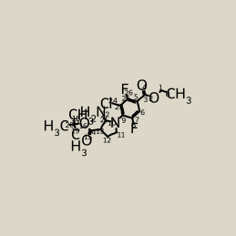 CCOC(=O)c1cc(F)c(N2CCC(C(=O)OC(C)(C)C)C2N)c(Cl)c1F